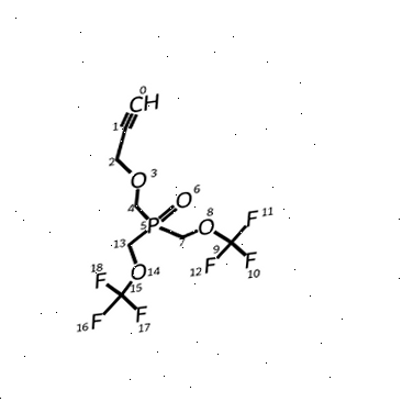 C#CCOCP(=O)(COC(F)(F)F)COC(F)(F)F